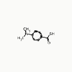 CN(C)c1ccc(C(=O)S)cc1